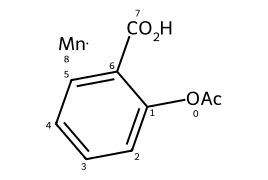 CC(=O)Oc1ccccc1C(=O)O.[Mn]